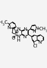 Cc1cccc(CS(=O)(=O)Nc2nc(-c3cc(Cl)c4ncccc4c3)c(-c3ccn(C)n3)nc2N)n1